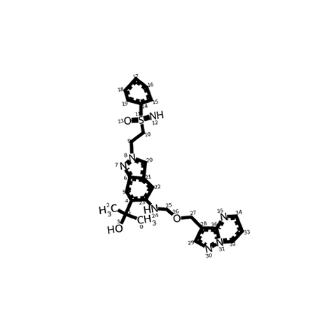 CC(C)(O)c1cc2nn(CCS(=N)(=O)c3ccccc3)cc2cc1NCOCc1cnn2cccnc12